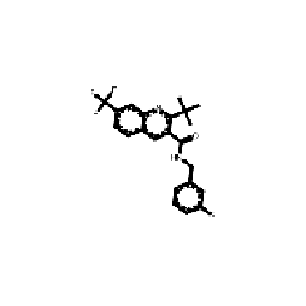 CC(C)(C)c1nc2cc(C(F)(F)F)ccc2cc1C(=O)NCc1cccc(F)c1